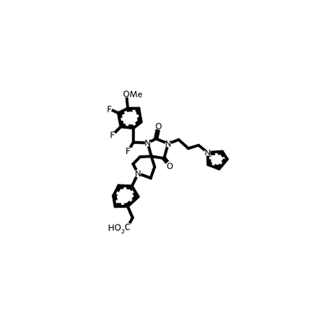 COc1ccc(C(F)N2C(=O)N(CCCn3cccc3)C(=O)C23CCN(c2cccc(CC(=O)O)c2)CC3)c(F)c1F